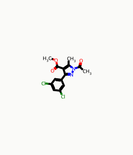 COC(=O)c1c(-c2cc(Cl)cc(Cl)c2)nn(C(C)=O)c1C